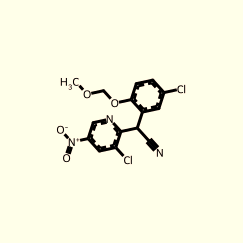 COCOc1ccc(Cl)cc1C(C#N)c1ncc([N+](=O)[O-])cc1Cl